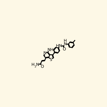 Cc1cccc(NC(=O)Nc2ccc(-c3csc4c(/C=C/C(N)=O)cnc(N)c34)cc2)c1